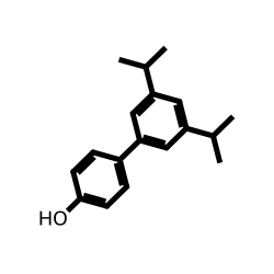 CC(C)c1cc(-c2ccc(O)cc2)cc(C(C)C)c1